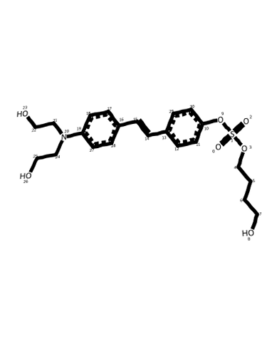 O=S(=O)(OCCCCO)Oc1ccc(/C=C/c2ccc(N(CCO)CCO)cc2)cc1